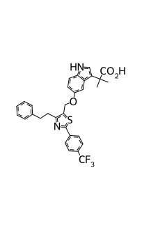 CC(C)(C(=O)O)c1c[nH]c2ccc(OCc3sc(-c4ccc(C(F)(F)F)cc4)nc3CCc3ccccc3)cc12